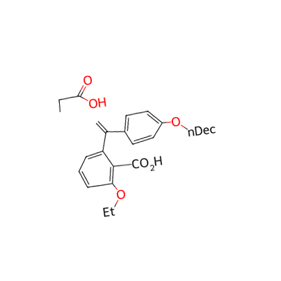 C=C(c1ccc(OCCCCCCCCCC)cc1)c1cccc(OCC)c1C(=O)O.CCC(=O)O